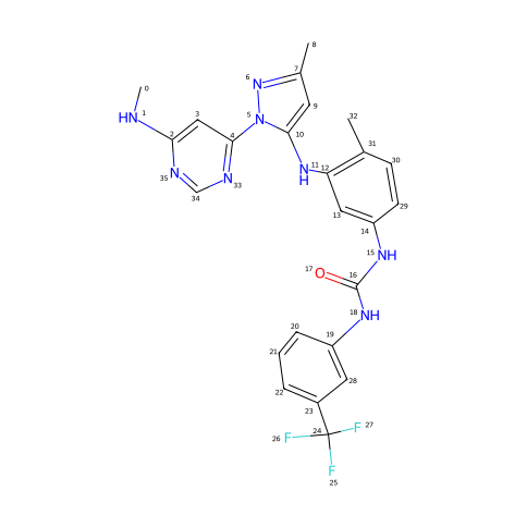 CNc1cc(-n2nc(C)cc2Nc2cc(NC(=O)Nc3cccc(C(F)(F)F)c3)ccc2C)ncn1